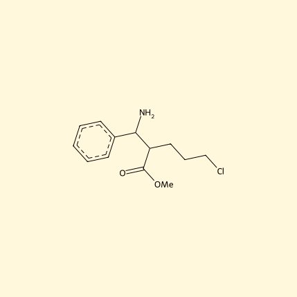 COC(=O)C(CCCCl)C(N)c1ccccc1